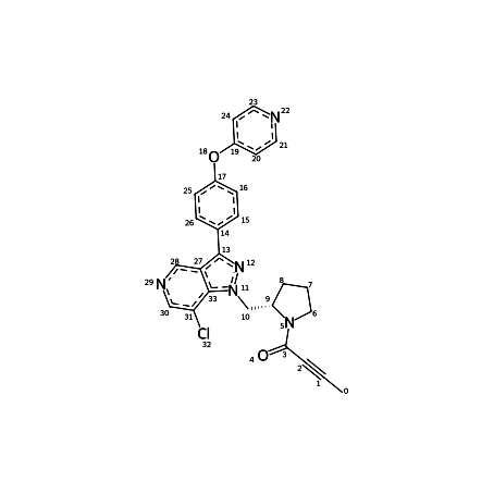 CC#CC(=O)N1CCC[C@H]1Cn1nc(-c2ccc(Oc3ccncc3)cc2)c2cncc(Cl)c21